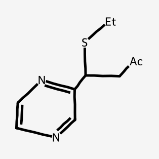 CCSC(CC(C)=O)c1cnccn1